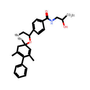 CCOC(=O)C(O)CNC(=O)c1ccc(C(CC(C)(C)C)OC2(C(C)(C)C)C=C(C)C(c3ccccc3)=C(C)C2)cc1